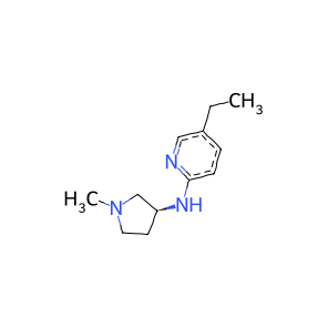 CCc1ccc(N[C@H]2CCN(C)C2)nc1